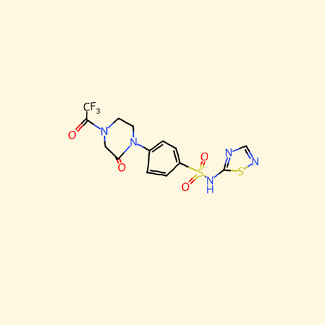 O=C1CN(C(=O)C(F)(F)F)CCN1c1ccc(S(=O)(=O)Nc2ncns2)cc1